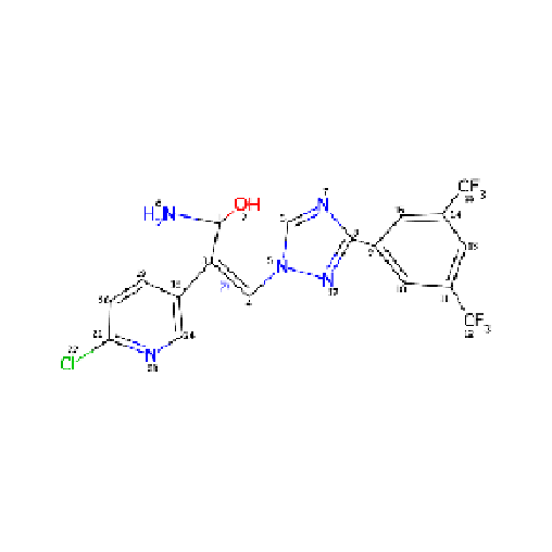 NC(O)/C(=C\n1cnc(-c2cc(C(F)(F)F)cc(C(F)(F)F)c2)n1)c1ccc(Cl)nc1